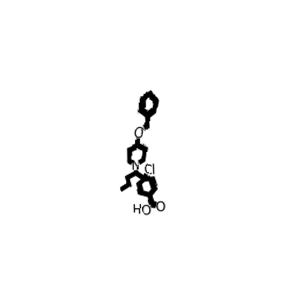 CCCC(N1CCC(OCc2ccccc2)CC1)C1(Cl)C=CC(C(=O)O)C=C1